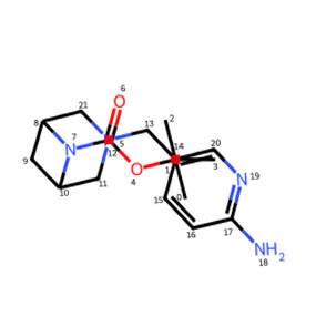 CC(C)(C)OC(=O)N1C2CC1CN(Cc1ccc(N)nc1)C2